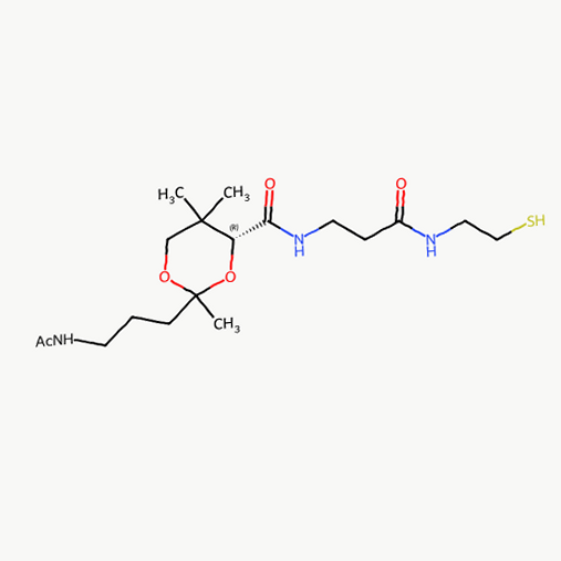 CC(=O)NCCCC1(C)OCC(C)(C)[C@H](C(=O)NCCC(=O)NCCS)O1